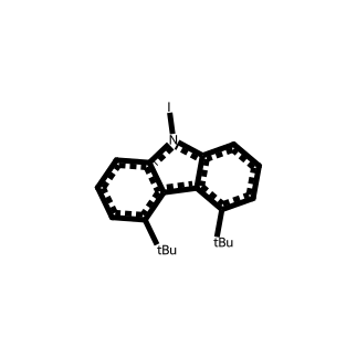 CC(C)(C)c1cccc2c1c1c(C(C)(C)C)cccc1n2I